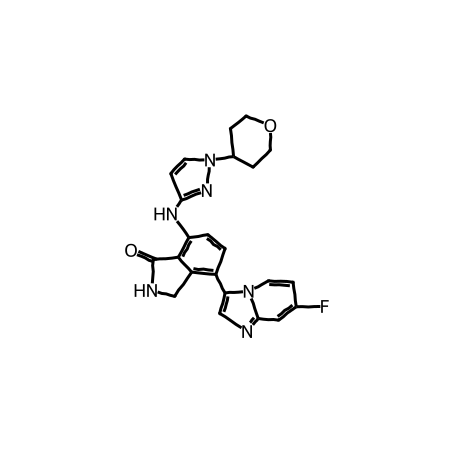 O=C1NCc2c(-c3cnc4cc(F)ccn34)ccc(Nc3ccn(C4CCOCC4)n3)c21